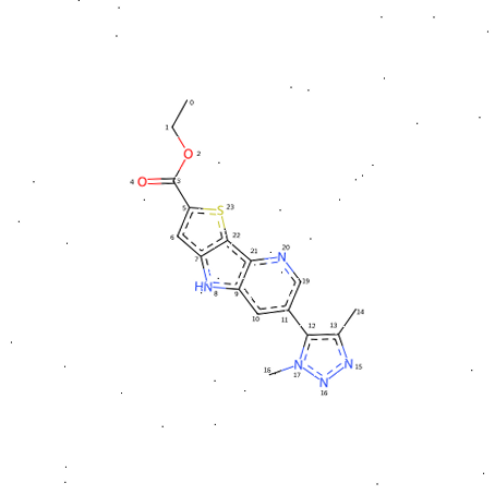 CCOC(=O)c1cc2[nH]c3cc(-c4c(C)nnn4C)cnc3c2s1